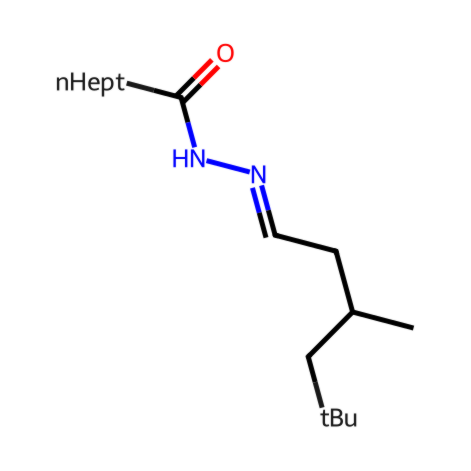 CCCCCCCC(=O)NN=CCC(C)CC(C)(C)C